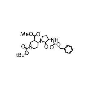 COC(=O)[C@@H]1CN(C(=O)OC(C)(C)C)CC[C@@H]1N1CC[C@H](NC(=O)OCc2ccccc2)C1=O